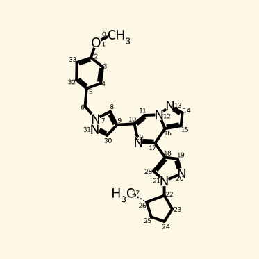 COc1ccc(Cn2cc(-c3cn4nccc4c(-c4cnn(C5CCC[C@@H]5C)c4)n3)cn2)cc1